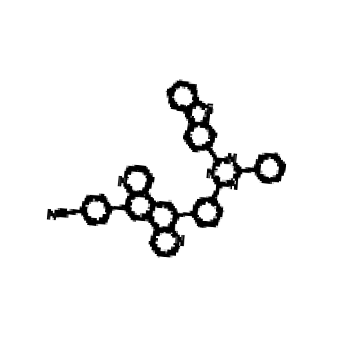 N#Cc1ccc(-c2cc3c4cccnc4c(-c4cccc(-c5nc(-c6ccccc6)nc(-c6ccc7c(c6)sc6ccccc67)n5)c4)cc3c3cccnc23)cc1